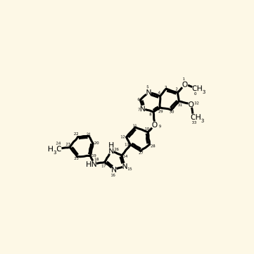 COc1cc2ncnc(Oc3ccc(-c4nnc(Nc5cccc(C)c5)[nH]4)cc3)c2cc1OC